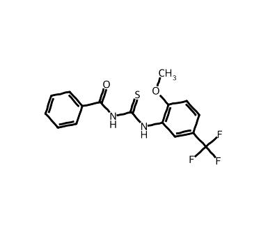 COc1ccc(C(F)(F)F)cc1NC(=S)NC(=O)c1ccccc1